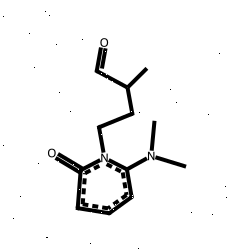 CC(C=O)CCn1c(N(C)C)cccc1=O